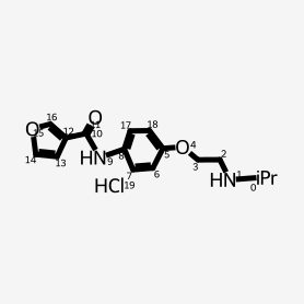 CC(C)NCCOc1ccc(NC(=O)c2ccoc2)cc1.Cl